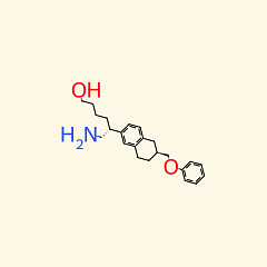 NC[C@H](CCCCO)c1ccc2c(c1)CC[C@H](COc1ccccc1)C2